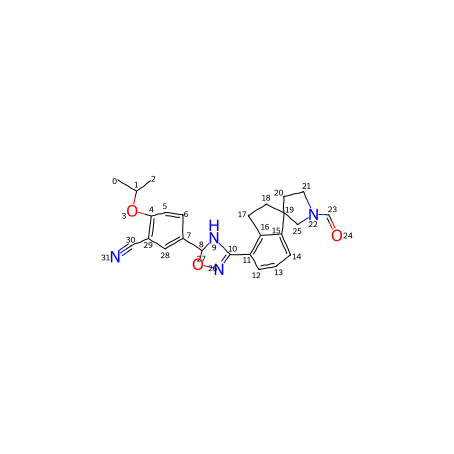 CC(C)Oc1ccc(C2NC(c3cccc4c3CCC43CCN(C=O)C3)=NO2)cc1C#N